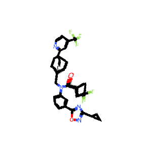 O=C(C1CC(F)(F)C1)N(CC12CCC(c3cc(C(F)(F)F)ccn3)(CC1)CC2)c1cccc(-c2nc(C3CC3)no2)c1